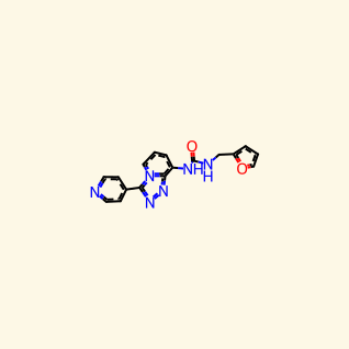 O=C(NCc1ccco1)Nc1cccn2c(-c3ccncc3)nnc12